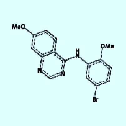 COc1ccc2c(Nc3cc(Br)ccc3OC)ncnc2c1